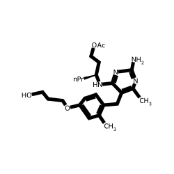 CCC[C@@H](CCOC(C)=O)Nc1nc(N)nc(C)c1Cc1ccc(OCCCO)cc1C